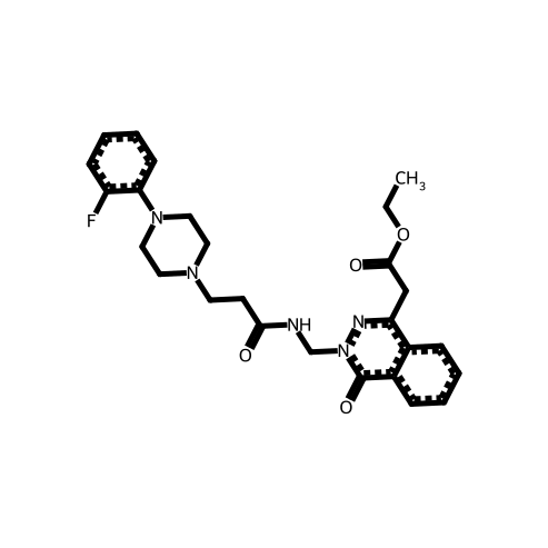 CCOC(=O)Cc1nn(CNC(=O)CCN2CCN(c3ccccc3F)CC2)c(=O)c2ccccc12